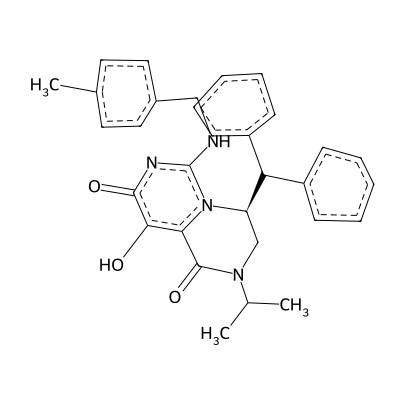 Cc1ccc(CNc2nc(=O)c(O)c3n2[C@@H](C(c2ccccc2)c2ccccc2)CN(C(C)C)C3=O)cc1